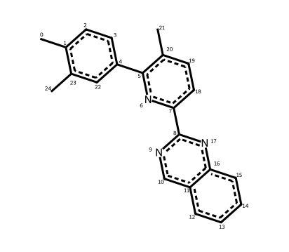 Cc1ccc(-c2nc(-c3ncc4ccccc4n3)ccc2C)cc1C